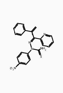 C=C(C(=NN(C(N)=S)c1ccc([N+](=O)[O-])cc1)c1ccccn1)c1ccccc1